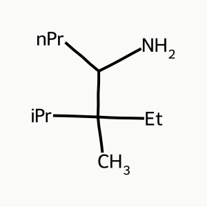 CCCC(N)C(C)(CC)C(C)C